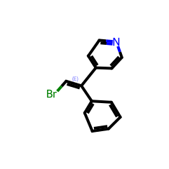 Br/C=C(\c1ccccc1)c1ccncc1